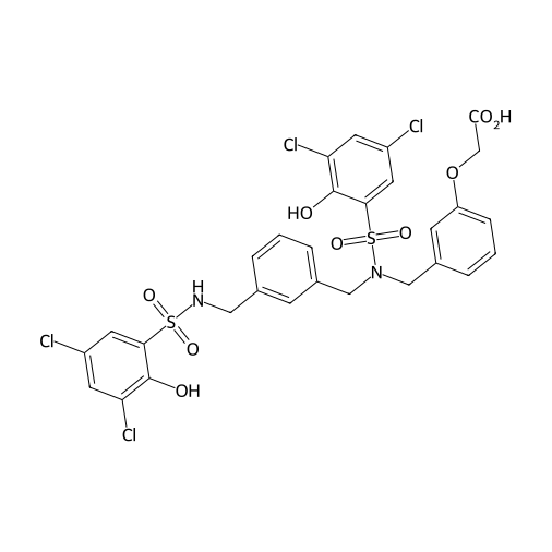 O=C(O)COc1cccc(CN(Cc2cccc(CNS(=O)(=O)c3cc(Cl)cc(Cl)c3O)c2)S(=O)(=O)c2cc(Cl)cc(Cl)c2O)c1